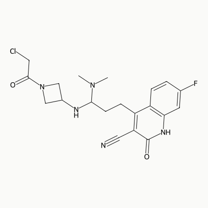 CN(C)C(CCc1c(C#N)c(=O)[nH]c2cc(F)ccc12)NC1CN(C(=O)CCl)C1